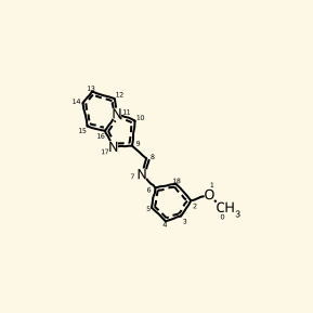 COc1cccc(/N=C/c2cn3ccccc3n2)c1